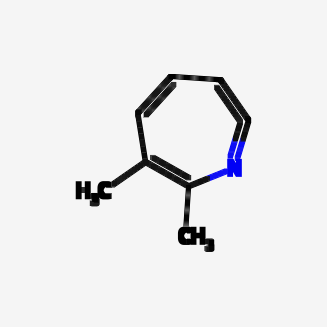 CC1=C(C)N=C=CC=C1